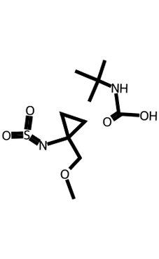 CC(C)(C)NC(=O)O.COCC1(N=S(=O)=O)CC1